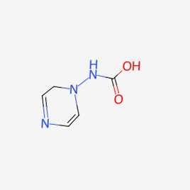 O=C(O)NN1C=CN=CC1